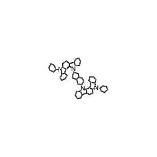 c1ccc(-n2c3ccccc3c3c2ccc2c4ccccc4n(-c4ccc5cc(-n6c7ccccc7c7ccc8c(c9ccccc9n8-c8ccccc8)c76)ccc5c4)c23)cc1